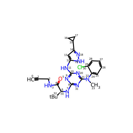 C#CCNC(=O)[C@@H](Nc1nc(Nc2cc(C3CC3)n[nH]2)nc(N(C)c2ccccc2Cl)n1)C(C)(C)C